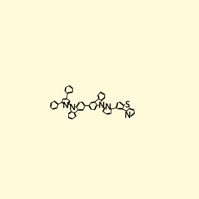 c1ccc(-c2cc(-c3ccccc3)nc(-n3c4ccccc4c4cc(-c5ccc6c(c5)c5ccccc5n6-c5cccc(-c6ccc7sc8cccnc8c7c6)n5)ccc43)c2)cc1